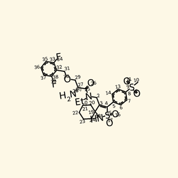 CCN(CC1=C(c2ccc(S(C)(=O)=O)cc2)S(=O)(=O)NC12CCCCC2)C(=O)[C@H](N)COCc1c(F)cccc1F